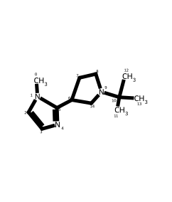 Cn1ccnc1C1CCN(C(C)(C)C)C1